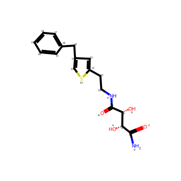 NC(=O)[C@H](O)[C@@H](O)C(=O)NCCc1cc(Cc2ccccc2)cs1